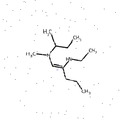 CCC/C(=C/N(C)C(C)CC)NCC